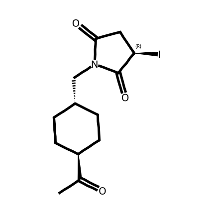 CC(=O)[C@H]1CC[C@H](CN2C(=O)C[C@@H](I)C2=O)CC1